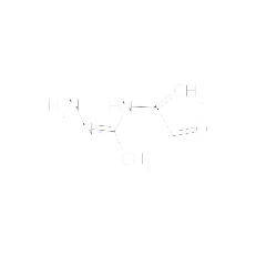 C=C(C=O)N/C(C)=N\N